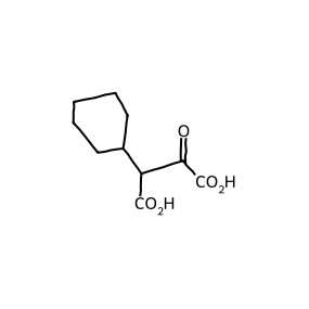 O=C(O)C(=O)C(C(=O)O)C1CCCCC1